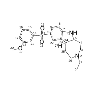 CCN1CCC2Nc3ccc(S(=O)(=O)c4cccc(OC)c4)cc3[C@@H]2CC1